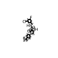 O=C(NCc1cc(F)cc(Cl)c1)O[C@@]1(O)CCN(c2ccc(C(F)(F)F)nc2)C1=O